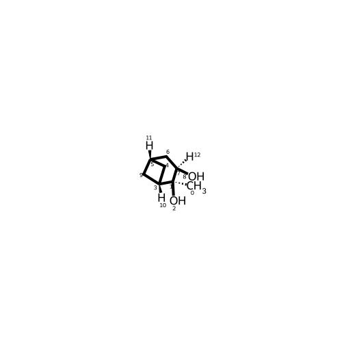 C[C@]1(O)[C@H]2C[C@@H](C[C@H]1O)C2